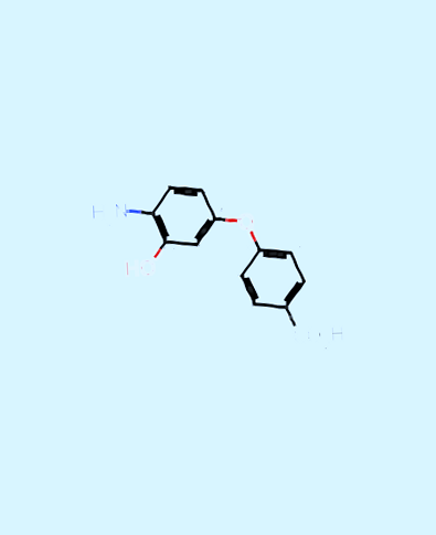 Nc1ccc(Oc2ccc(C(=O)O)cc2)cc1O